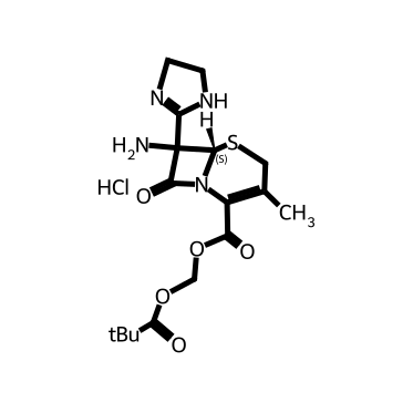 CC1=C(C(=O)OCOC(=O)C(C)(C)C)N2C(=O)C(N)(C3=NCCN3)[C@@H]2SC1.Cl